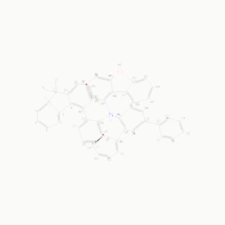 CC1(C)c2ccccc2-c2c(-c3ccccc3N(c3ccc(-c4ccccc4)cc3-c3ccccc3)c3cccc4oc5ccccc5c34)cccc21